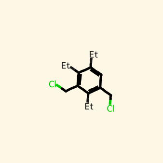 CCc1cc(CCl)c(CC)c(CCl)c1CC